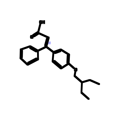 CCC(CC)COc1ccc(/C(=C/C(=O)O)c2ccccc2)cc1